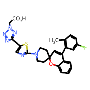 Cc1ccc(F)cc1C1=CC2(CCN(c3ncc(-c4nnn(CC(=O)O)n4)s3)CC2)Oc2ccccc21